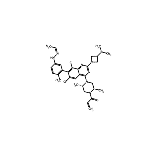 C=CC(=O)N1C[C@H](C)N(c2nc(N3CC(N(C)C)C3)nc3c(F)c(-c4cc(N/N=C\C)ccc4C)c(Cl)cc23)C[C@H]1C